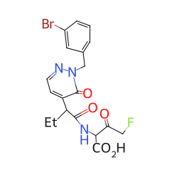 CCC(C(=O)NC(C(=O)O)C(=O)CF)c1ccnn(Cc2cccc(Br)c2)c1=O